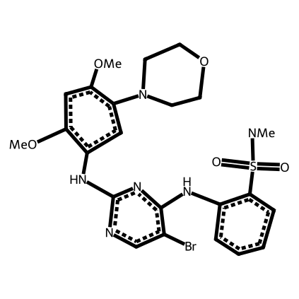 CNS(=O)(=O)c1ccccc1Nc1nc(Nc2cc(N3CCOCC3)c(OC)cc2OC)ncc1Br